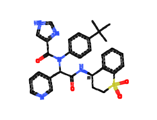 CC(C)(C)c1ccc(N(C(=O)c2c[nH]cn2)C(C(=O)N[C@@H]2CCS(=O)(=O)c3ccccc32)c2cccnc2)cc1